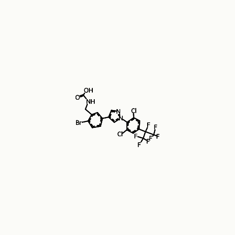 O=C(O)NCc1cc(-c2cnn(-c3c(Cl)cc(C(F)(C(F)(F)F)C(F)(F)F)cc3Cl)c2)ccc1Br